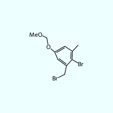 COCOc1cc(C)c(Br)c(CBr)c1